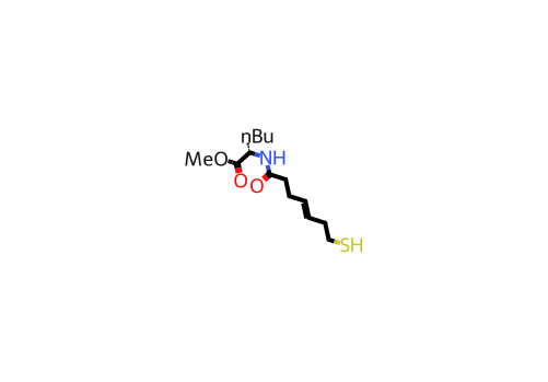 CCCC[C@H](NC(=O)CC/C=C/CCS)C(=O)OC